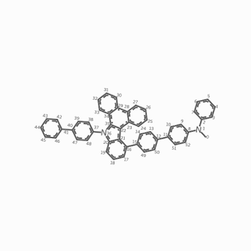 CN(c1ccccc1)c1ccc(-c2ccc(-c3cccc4c3c3c5ccccc5c5ccccc5c3n4-c3ccc(-c4ccccc4)cc3)cc2)cc1